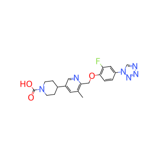 Cc1cc(C2CCN(C(=O)O)CC2)cnc1COc1ccc(-n2cnnn2)cc1F